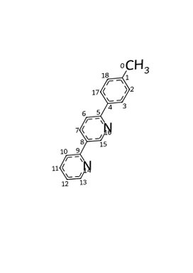 Cc1ccc(-c2ccc(-c3ccccn3)cn2)cc1